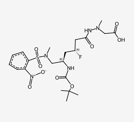 CN(CC(=O)O)NC(=O)C[C@H](F)C[C@H](CN(C)S(=O)(=O)c1ccccc1[N+](=O)[O-])NC(=O)OC(C)(C)C